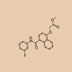 COC(=O)COc1ccc(C(=O)Nc2cccc(F)c2)c2ccccc12